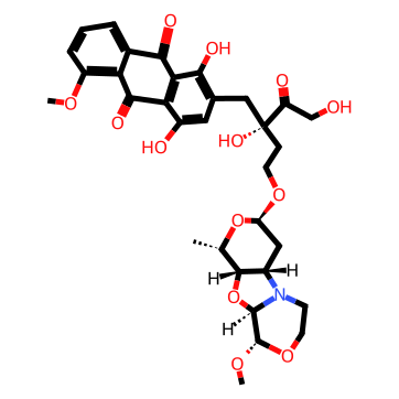 COc1cccc2c1C(=O)c1c(O)cc(C[C@](O)(CCO[C@H]3C[C@H]4[C@H](O[C@@H]5[C@@H](OC)OCCN54)[C@H](C)O3)C(=O)CO)c(O)c1C2=O